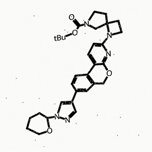 CC(C)(C)OC(=O)N1CCC2(CCN2c2ccc3c(n2)OCc2cc(-c4cnn(C5CCCCO5)c4)ccc2-3)C1